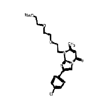 COCCOCCOCCn1c(C)cc(=O)n2cc(-c3ccc(Cl)cc3)nc12